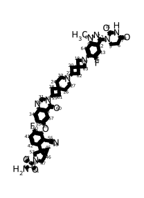 Cn1nc(N2CCC(=O)NC2=O)c2cc(F)c(N3CC4(CC(N5CCC6(CC5)CC(n5cnc7ccc(Oc8c(F)ccc(C9%10CC9CN(S(N)(=O)=O)C%10)c8C#N)cc7c5=O)C6)C4)C3)cc21